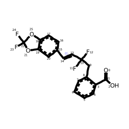 O=C(O)c1ccccc1CC(F)(F)/C=C/c1ccc2c(c1)OC(F)(F)O2